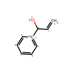 C=C[C](O)[14c]1ccccc1